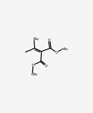 CCCCOC(=O)C(C(=O)OCCCC)=C(C)C(C)(C)C